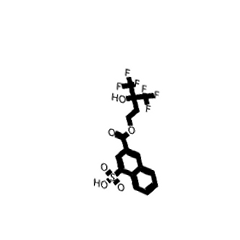 O=C(OCCC(O)(C(F)(F)F)C(F)(F)F)c1cc(S(=O)(=O)O)c2ccccc2c1